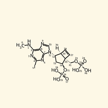 CNc1nc(I)nc2c1ncn2[C@H]1C[C@H](OP(=O)(O)O)[C@]2(COP(=O)(O)O)C=C[C@H]12